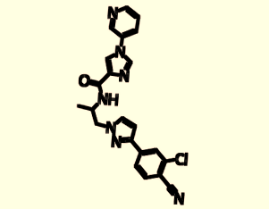 CC(Cn1ccc(-c2ccc(C#N)c(Cl)c2)n1)NC(=O)c1cn(-c2cccnc2)cn1